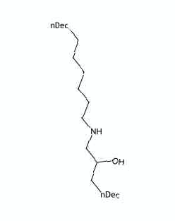 CCCCCCCCCCCCCCCCNCC(O)CCCCCCCCCCC